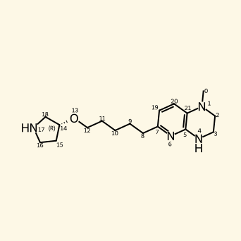 CN1CCNc2nc(CCCCCO[C@@H]3CCNC3)ccc21